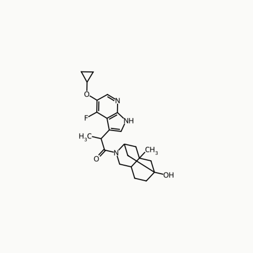 CC(C(=O)N1CC2CCC3(O)CC1CC2(C)C3)c1c[nH]c2ncc(OC3CC3)c(F)c12